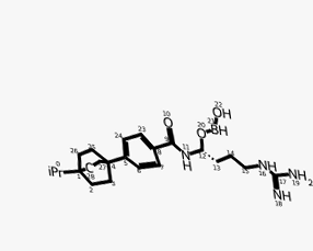 CC(C)C12CCC(c3ccc(C(=O)N[C@@H](CCCNC(=N)N)OBO)cc3)(CC1)CC2